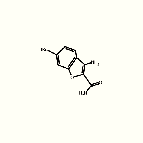 CC(C)(C)c1ccc2c(N)c(C(N)=O)oc2c1